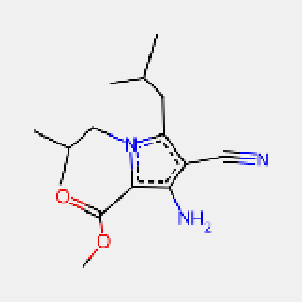 COC(=O)c1c(N)c(C#N)c(CC(C)C)n1CC(C)C